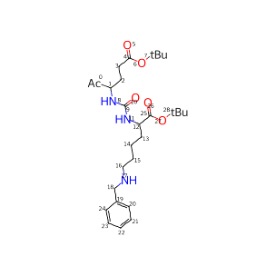 CC(=O)C(CCC(=O)OC(C)(C)C)NC(=O)NC(CCCCNCc1ccccc1)C(=O)OC(C)(C)C